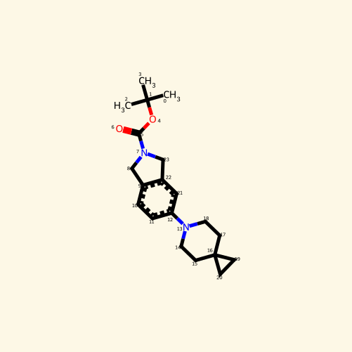 CC(C)(C)OC(=O)N1Cc2ccc(N3CCC4(CC3)CC4)cc2C1